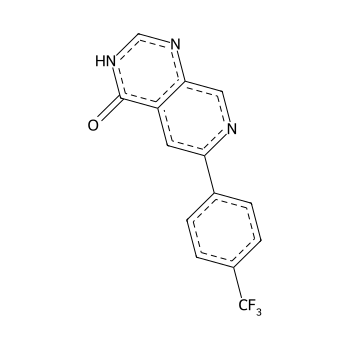 O=c1[nH]cnc2cnc(-c3ccc(C(F)(F)F)cc3)cc12